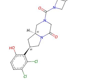 O=C(N1CC(O)C1)N1CC(=O)N2C[C@@H](c3c(O)ccc(Cl)c3Cl)C[C@H]2C1